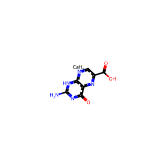 Nc1nc(=O)c2nc(C(=O)O)cnc2[nH]1.[CaH2]